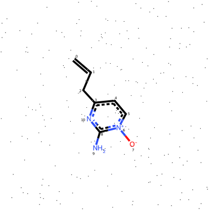 C=CCc1cc[n+]([O-])c(N)n1